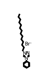 CCCCCCCCCCCCCC[n+]1cn(-c2ccccc2)cn1.[Br-]